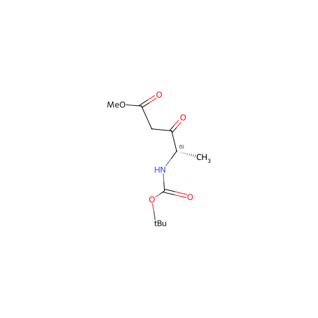 COC(=O)CC(=O)[C@H](C)NC(=O)OC(C)(C)C